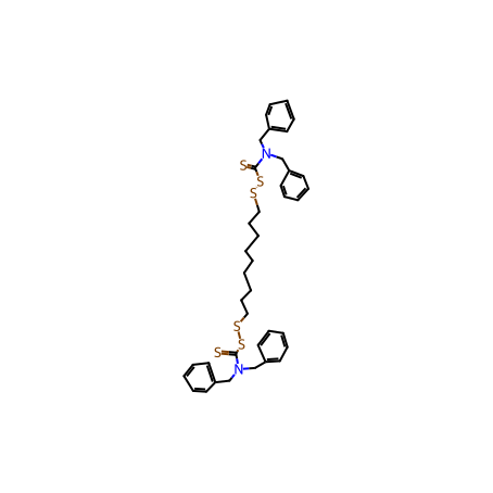 S=C(SSCCCCCCCCCSSC(=S)N(Cc1ccccc1)Cc1ccccc1)N(Cc1ccccc1)Cc1ccccc1